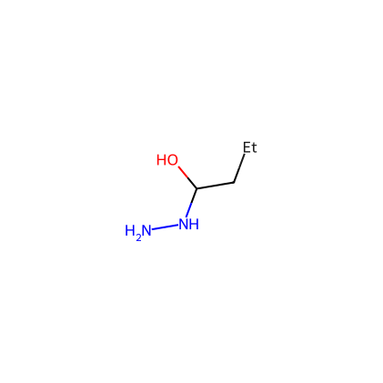 CCCC(O)NN